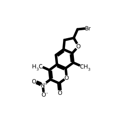 Cc1c([N+](=O)[O-])c(=O)oc2c(C)c3c(cc12)CC(CBr)O3